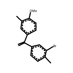 C=C(c1ccc(OC)c(C)c1)c1ccc(C)c(Br)c1